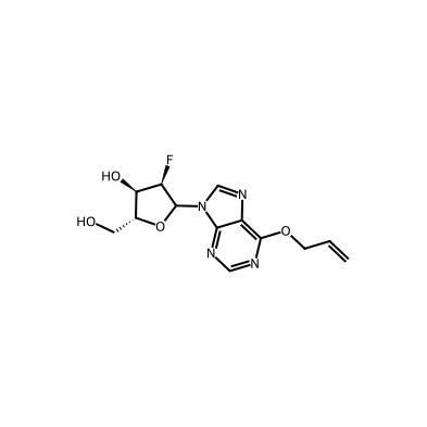 C=CCOc1ncnc2c1ncn2C1O[C@H](CO)[C@@H](O)[C@H]1F